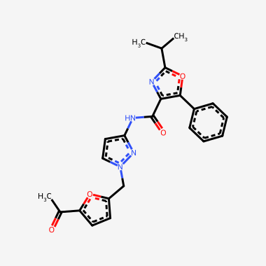 CC(=O)c1ccc(Cn2ccc(NC(=O)c3nc(C(C)C)oc3-c3ccccc3)n2)o1